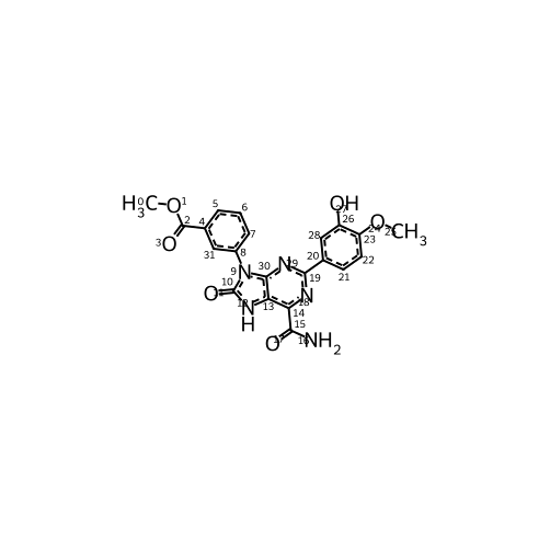 COC(=O)c1cccc(-n2c(=O)[nH]c3c(C(N)=O)nc(-c4ccc(OC)c(O)c4)nc32)c1